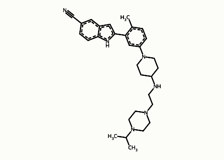 Cc1ccc(N2CCC(NCCN3CCN(C(C)C)CC3)CC2)cc1-c1cc2cc(C#N)ccc2[nH]1